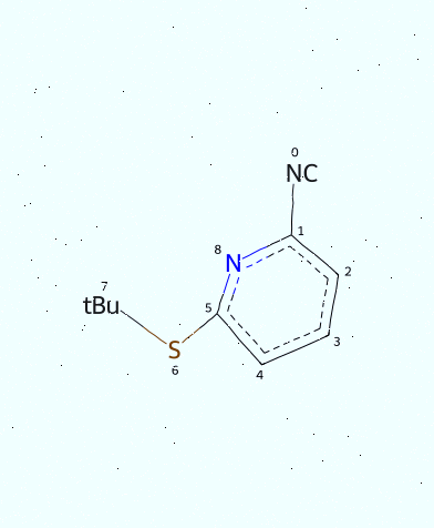 [C-]#[N+]c1cccc(SC(C)(C)C)n1